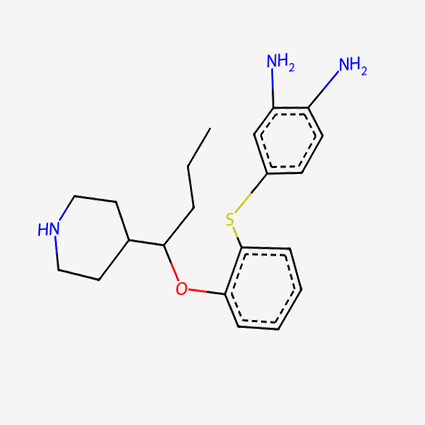 CCCC(Oc1ccccc1Sc1ccc(N)c(N)c1)C1CCNCC1